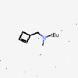 CN(CC1C=CC1)C(C)(C)C